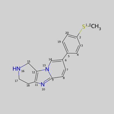 CSc1ccc(-c2ccc3nc4c(n3c2)CNCC4)cc1